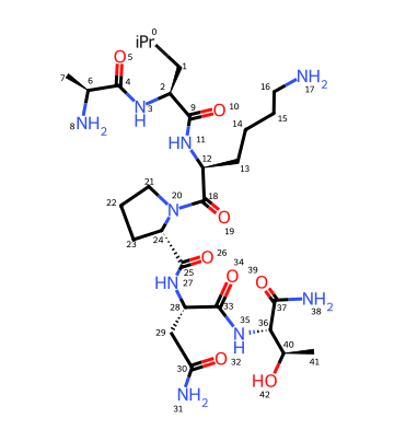 CC(C)C[C@H](NC(=O)[C@H](C)N)C(=O)N[C@@H](CCCCN)C(=O)N1CCC[C@H]1C(=O)N[C@@H](CC(N)=O)C(=O)N[C@H](C(N)=O)[C@@H](C)O